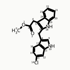 COC(=O)Cc1c(Cc2c[nH]c3cc(Cl)ccc23)[nH]c2ccccc12